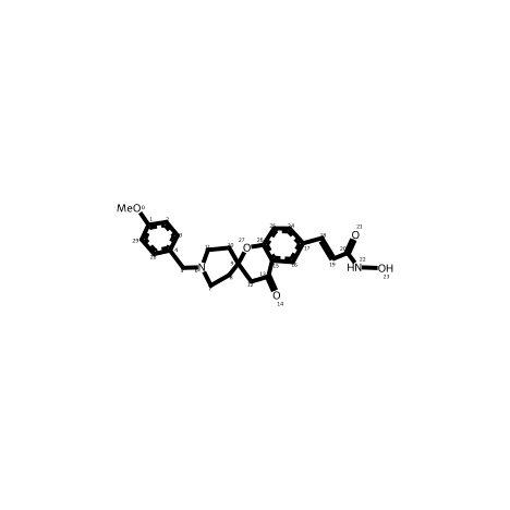 COc1ccc(CN2CCC3(CC2)CC(=O)c2cc(C=CC(=O)NO)ccc2O3)cc1